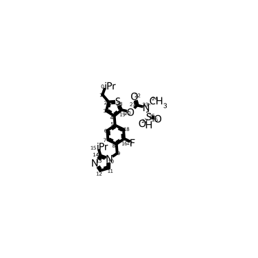 CC(C)Cc1cc(-c2ccc(Cn3ccnc3C(C)C)c(F)c2)c(OC(=O)N(C)[SH](=O)=O)s1